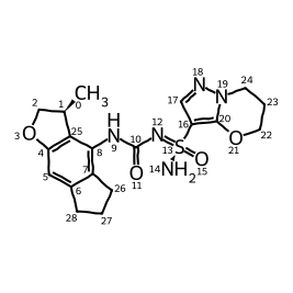 C[C@@H]1COc2cc3c(c(NC(=O)N=[S@@](N)(=O)c4cnn5c4OCCC5)c21)CCC3